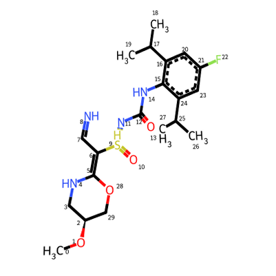 CO[C@H]1CN/C(=C(\C=N)[SH](=O)=NC(=O)Nc2c(C(C)C)cc(F)cc2C(C)C)OC1